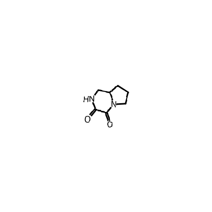 O=C1NCC2CCCN2C1=O